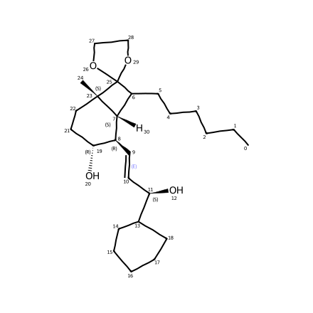 CCCCCCC1[C@@H]2[C@@H](/C=C/[C@@H](O)C3CCCCC3)[C@H](O)CC[C@]2(C)C12OCCO2